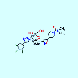 CO[C@@H]1[C@@H](n2cc(-c3cc(F)c(F)c(F)c3)nn2)[C@@H](O)[C@@H](CO)O[C@@H]1Cc1cc(C2CCN(C(=O)N(C)C)CC2)on1